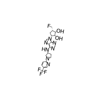 O[C@@H]1[C@@H](CF)C[C@@H](n2cnc3c(N[C@H]4CCN(c5ccc(C(F)(F)F)cn5)C4)ncnc32)[C@@H]1O